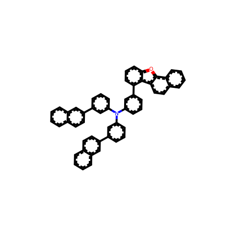 c1cc(-c2ccc3ccccc3c2)cc(N(c2cccc(-c3ccc4ccccc4c3)c2)c2cccc(-c3cccc4oc5c6ccccc6ccc5c34)c2)c1